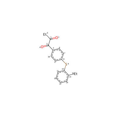 CCC(=O)C(=O)c1ccc(Sc2ccccc2CC)cc1